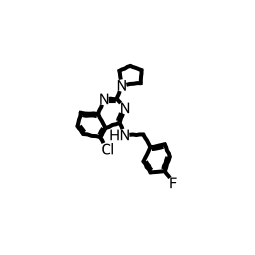 Fc1ccc(CNc2nc(N3CCCC3)nc3cccc(Cl)c23)cc1